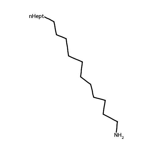 [CH2]CCCCCCCCCCCCCCCCCN